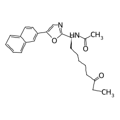 CCC(=O)CCCCC[C@H](NC(C)=O)c1ncc(-c2ccc3ccccc3c2)o1